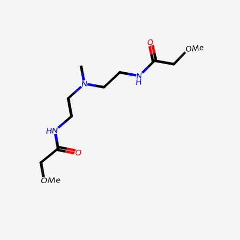 COCC(=O)NCCN(C)CCNC(=O)COC